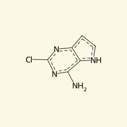 Nc1nc(Cl)nc2cc[nH]c12